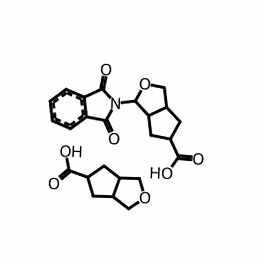 O=C(O)C1CC2COC(N3C(=O)c4ccccc4C3=O)C2C1.O=C(O)C1CC2COCC2C1